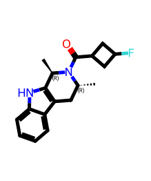 C[C@@H]1Cc2c([nH]c3ccccc23)[C@@H](C)N1C(=O)C1CC(F)C1